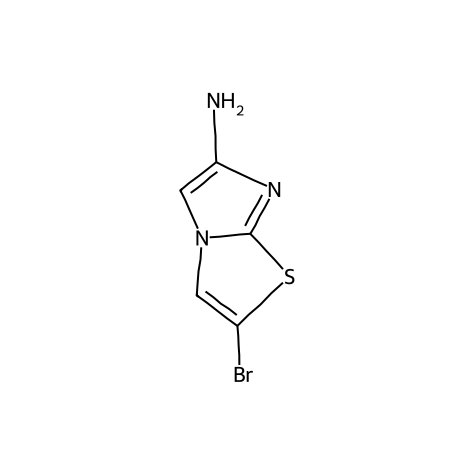 Nc1cn2cc(Br)sc2n1